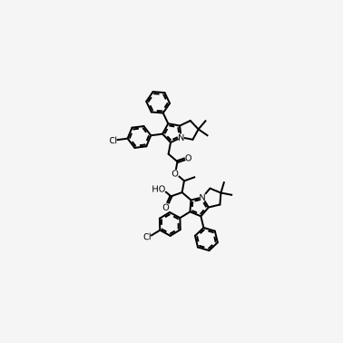 CC(OC(=O)Cc1c(-c2ccc(Cl)cc2)c(-c2ccccc2)c2n1CC(C)(C)C2)C(C(=O)O)c1c(-c2ccc(Cl)cc2)c(-c2ccccc2)c2n1CC(C)(C)C2